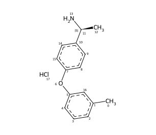 Cc1cccc(Oc2ccc([C@H](C)N)cc2)c1.Cl